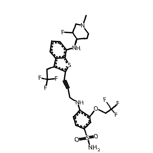 CN1CCC(Nc2cccc3c(CC(F)(F)F)c(C#CCNc4ccc(S(N)(=O)=O)cc4OCC(F)(F)F)sc23)C(F)C1